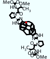 COC(=O)N[C@H](C(=O)N1CCC[C@H]1c1nc2cc(-c3cc4ccc3CCc3ccc(c(-c5ccc6[nH]c([C@@H]7CCCN7C(=O)[C@@H](NC(=O)OC)[C@@H](C)OC)nc6c5)c3)CC4)ccc2[nH]1)[C@@H](C)OC